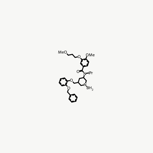 BN1CC(COc2ccccc2OCc2ccccc2)CC(N(C(=O)c2ccc(OC)c(OCCCOC)c2)C(C)C)C1